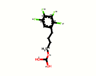 OC(O)O[SiH2]CCCc1cc(F)c(F)c(F)c1F